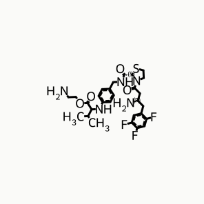 CC(C)C(Nc1ccc(CNC(=O)[C@@H]2SCCN2C(=O)C[C@H](N)Cc2cc(F)c(F)cc2F)cc1)C(=O)OCCN